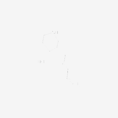 C=CCOC[C@@H]1CCCNC1.Cl